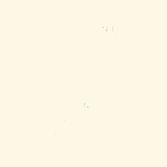 CC1Cc2ccc(N)cc2CCN1C(=O)OC(C)(C)C